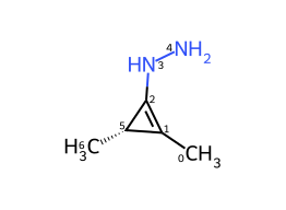 CC1=C(NN)[C@H]1C